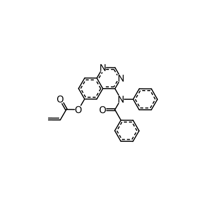 C=CC(=O)Oc1ccc2ncnc(N(C(=O)c3ccccc3)c3ccccc3)c2c1